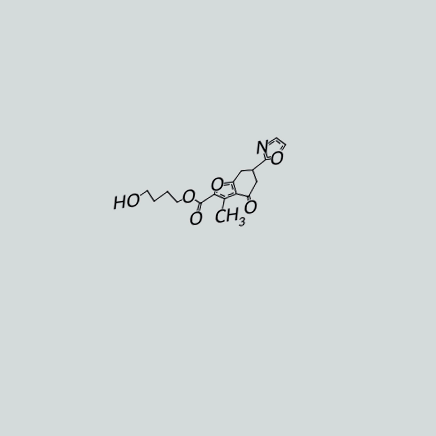 Cc1c(C(=O)OCCCCO)oc2c1C(=O)CC(c1ncco1)C2